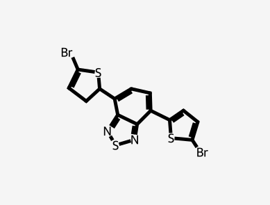 BrC1=CCC(c2ccc(-c3ccc(Br)s3)c3nsnc23)S1